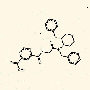 COC(=O)c1cc(C(=O)NCC(=O)N(Cc2ccccc2)[C@@H]2CCCC[C@H]2Cc2ccccc2)ncn1